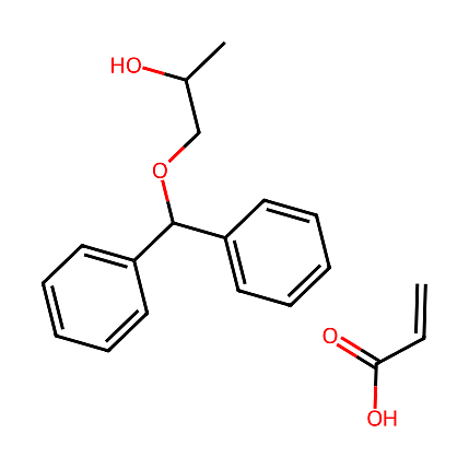 C=CC(=O)O.CC(O)COC(c1ccccc1)c1ccccc1